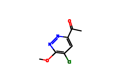 COc1nnc(C(C)=O)cc1Cl